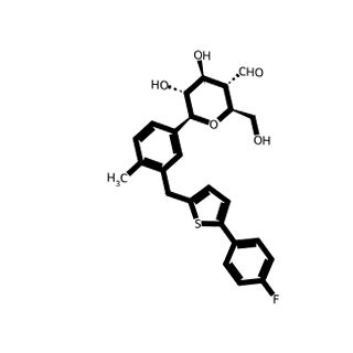 Cc1ccc([C@@H]2O[C@H](CO)[C@@H](C=O)[C@H](O)[C@H]2O)cc1Cc1ccc(-c2ccc(F)cc2)s1